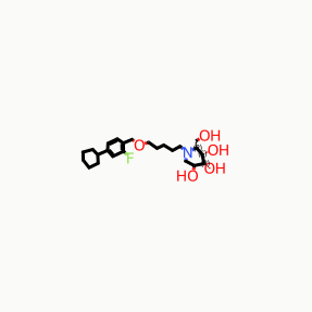 OC[C@@H]1[C@H](O)[C@H](O)C(O)CN1CCCCCOCc1ccc(C2CCCCC2)cc1F